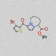 CC(C)OC(=O)C1CCCCn2c(C(=O)c3sccc3Br)ccc21